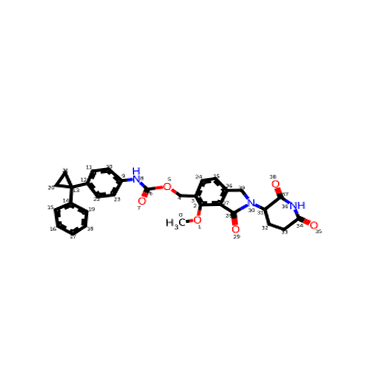 COc1c(COC(=O)Nc2ccc(C3(c4ccccc4)CC3)cc2)ccc2c1C(=O)N(C1CCC(=O)NC1=O)C2